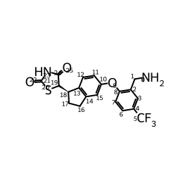 NCc1cc(C(F)(F)F)ccc1Oc1ccc2c(c1)CC[C@H]2C1SC(=O)NC1=O